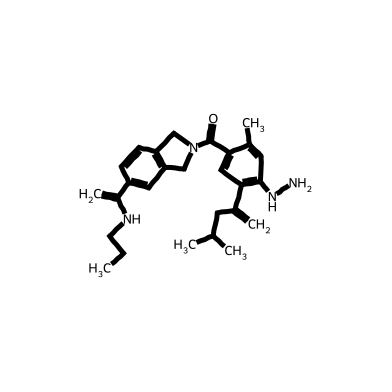 C=C(NCCC)c1ccc2c(c1)CN(C(=O)c1cc(C(=C)CC(C)C)c(NN)cc1C)C2